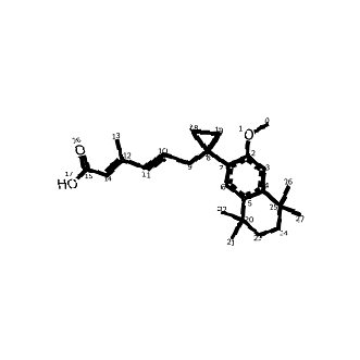 COc1cc2c(cc1C1(C/C=C/C(C)=C/C(=O)O)CC1)C(C)(C)CCC2(C)C